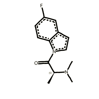 C[C@@H](C(=O)n1ccc2cc(F)ccc21)N(C)C